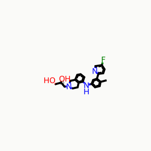 Cc1ccc(Nc2cccc3c2CCN(C[C@H](O)CO)C3)cc1-c1ccc(F)cn1